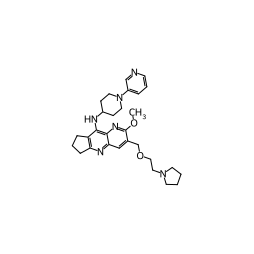 COc1nc2c(NC3CCN(c4cccnc4)CC3)c3c(nc2cc1COCCN1CCCC1)CCC3